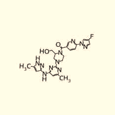 Cc1cc(Nc2cc(C)[nH]n2)nc(N2CCN(C(=O)c3ccc(-n4cc(F)cn4)nc3)C(CO)C2)n1